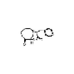 O=C1CCCCN2C[C@H]1NC(=O)[C@@H]2Cc1ccccc1